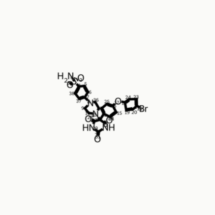 NS(=O)(=O)c1ccc(N2CCN(C3(c4ccc(Oc5ccc(Br)cc5)cc4)C(=O)NC(=O)NC3=O)CC2)cc1